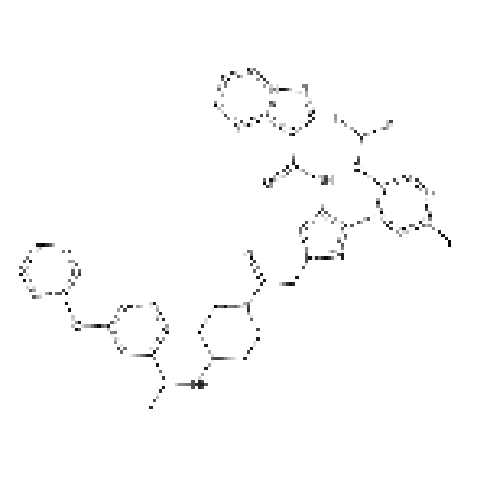 CC(NC1CCN(C(=O)Cn2cc(NC(=O)c3cnn4cccnc34)c(-c3cc(Cl)ccc3OC(F)F)n2)CC1)c1cccc(Oc2ccccc2)c1